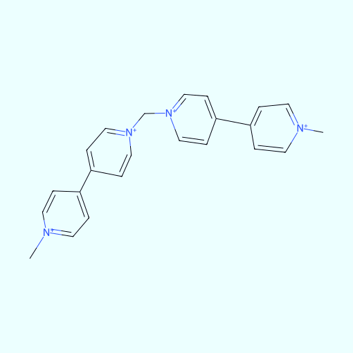 C[n+]1ccc(-c2cc[n+](C[n+]3ccc(-c4cc[n+](C)cc4)cc3)cc2)cc1